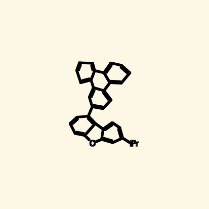 CC(C)c1ccc2c(c1)oc1cccc(-c3ccc4c5ccccc5c5ccccc5c4c3)c12